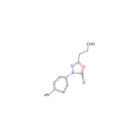 CCCc1ccc(-n2nc(CCC=O)oc2=O)cc1